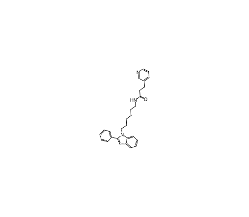 O=C(CCc1cccnc1)NCCCCCCn1c(-c2ccccc2)cc2ccccc21